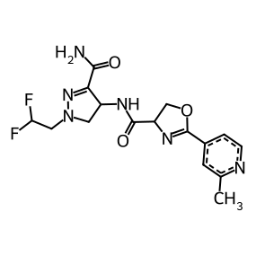 Cc1cc(C2=NC(C(=O)NC3CN(CC(F)F)N=C3C(N)=O)CO2)ccn1